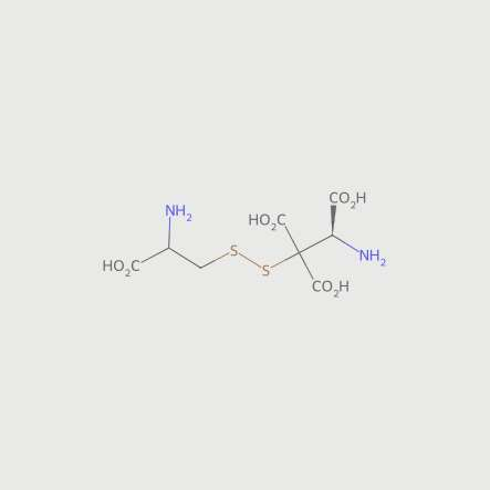 NC(CSSC(C(=O)O)(C(=O)O)[C@H](N)C(=O)O)C(=O)O